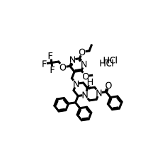 CCOc1nc(OC)c(CN2CC(C(c3ccccc3)c3ccccc3)N3CCN(C(=O)c4ccccc4)C[C@H]3C2)c(OCC(F)(F)F)n1.Cl.Cl